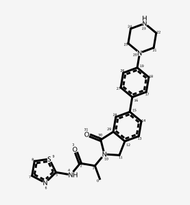 CC(C(=O)Nc1nccs1)N1Cc2ccc(-c3ccc(N4CCNCC4)cc3)cc2C1=O